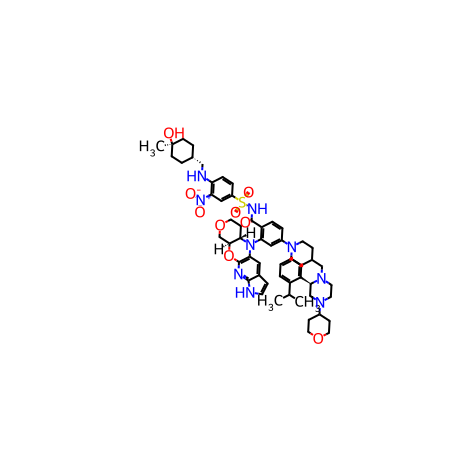 CC(C)c1ccccc1[C@@H]1CN(C2CCOCC2)CCN1CC1CCN(c2ccc(C(=O)NS(=O)(=O)c3ccc(NC[C@H]4CC[C@](C)(O)CC4)c([N+](=O)[O-])c3)c(N3c4cc5cc[nH]c5nc4O[C@H]4COCC[C@@H]43)c2)CC1